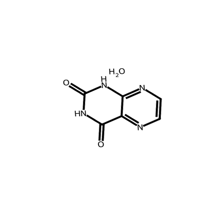 O.O=c1[nH]c(=O)c2nccnc2[nH]1